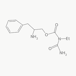 CCN(C(N)=O)C(=O)OCC(N)Cc1ccccc1